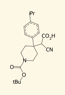 CC(C)c1ccc(C2(C(C#N)C(=O)O)CCN(C(=O)OC(C)(C)C)CC2)cc1